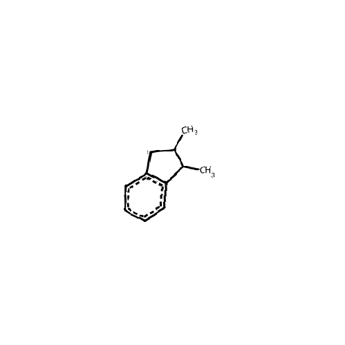 CC1[C]c2ccccc2C1C